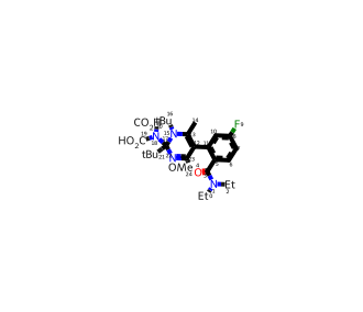 CCN(CC)C(=O)c1ccc(F)cc1C1=C(C)N(C(C)(C)C)C(N(C(=O)O)C(=O)O)(C(C)(C)C)N=C1OC